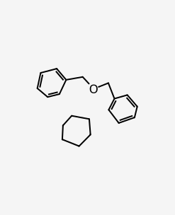 C1CCCCC1.c1ccc(COCc2ccccc2)cc1